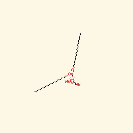 CCCCCCCCCCCCCCCCCCOC[C@H](COP(=O)(O)OCCBr)OCCCCCCCCCCCCCCCCCC